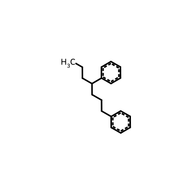 CCCC(CCCc1ccccc1)c1ccccc1